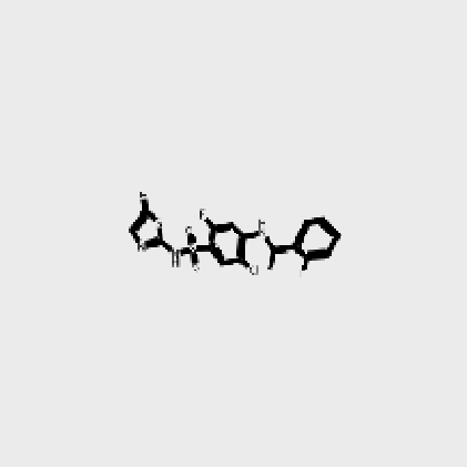 CC(Nc1cc(F)c(S(=O)(=O)Nc2ncc(F)s2)cc1Cl)c1ccccc1F